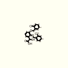 O=C(O)C(S)c1cccc(OCc2ccccc2Cl)c1OCc1ccccc1Cl